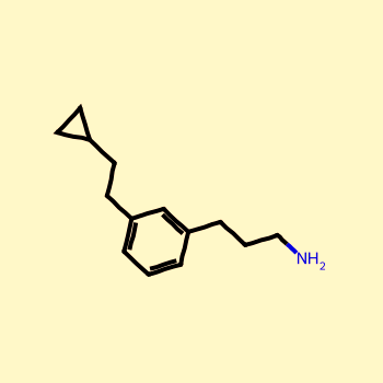 NCCCc1cccc(CCC2CC2)c1